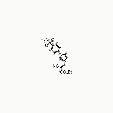 CCOC(=O)C(C#N)=Cc1ccn(-c2ccc(S(N)(=O)=O)cc2)n1